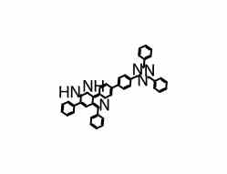 N=C1C(=N)c2c(c(-c3ccccc3)nc3cc(-c4ccc(-c5nc(-c6ccccc6)nc(-c6ccccc6)n5)cc4)ccc23)C=C1c1ccccc1